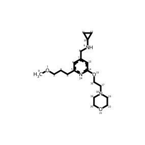 COCCCc1cc(CNC2CC2)cc(OCCN2CCOCC2)n1